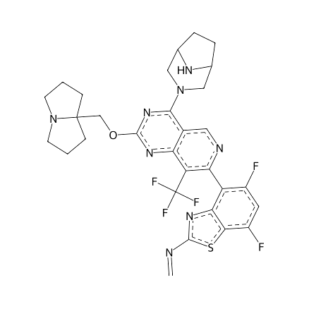 C=Nc1nc2c(-c3ncc4c(N5CC6CCC(C5)N6)nc(OCC56CCCN5CCC6)nc4c3C(F)(F)F)c(F)cc(F)c2s1